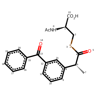 CC(=O)N[C@H](CSC(=O)[C@H](C)c1cccc(C(=O)c2ccccc2)c1)C(=O)O